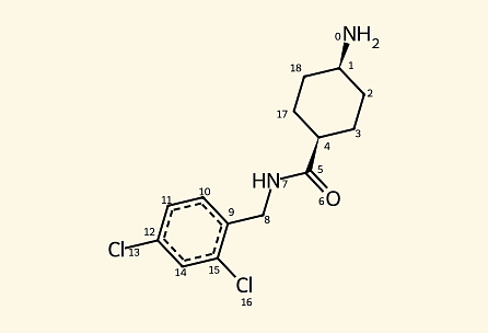 N[C@H]1CC[C@@H](C(=O)NCc2ccc(Cl)cc2Cl)CC1